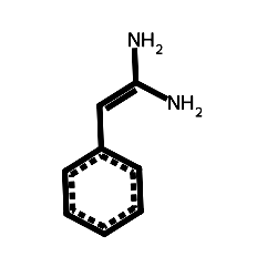 NC(N)=Cc1ccccc1